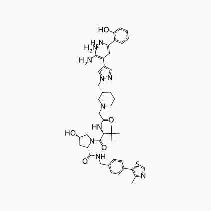 Cc1ncsc1-c1ccc(CNC(=O)[C@@H]2C[C@@H](O)CN2C(=O)[C@@H](NC(=O)CN2CCC[C@@H](Cn3cc(C(/C=C(\N)c4ccccc4O)=C(N)N)cn3)C2)C(C)(C)C)cc1